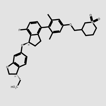 Cc1cc(OCC2CCCS(=O)(=O)C2)cc(C)c1-c1ccc(F)c2c1CC[C@H]2Oc1ccc2c(c1)OC[C@H]2CC(=O)O